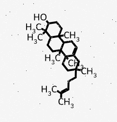 CC(C)=CCCC1(C)CCC2(C)C(=CCC3C4(C)CCC(O)C(C)(C)C4CCC32C)C1